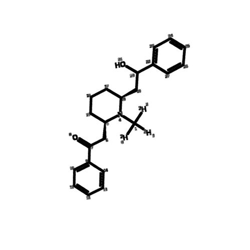 [2H]C([2H])([2H])N1[C@@H](CC(=O)c2ccccc2)CCC[C@H]1CC(O)c1ccccc1